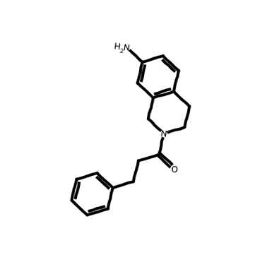 Nc1ccc2c(c1)CN(C(=O)CCc1ccccc1)CC2